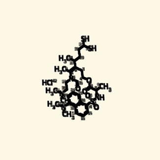 CC(=C(CCOC(=O)C(C)NS(=O)(=O)c1cccc2c(N(C)C)cccc12)C(C)CCC(S)S)N(C=O)CCN(C)C.Cl